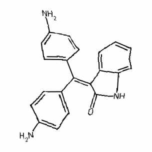 Nc1ccc(C(=C2C(=O)Nc3ccccc32)c2ccc(N)cc2)cc1